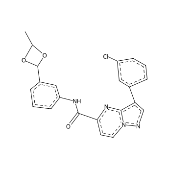 CC1OC(c2cccc(NC(=O)c3ccn4ncc(-c5cccc(Cl)c5)c4n3)c2)O1